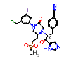 CS(=O)(=O)CCC1CN(c2cc(I)cc(CF)c2)C(=O)CN1[C@@H](Cc1ccc(C#N)cc1)C(=O)c1cnc[nH]1